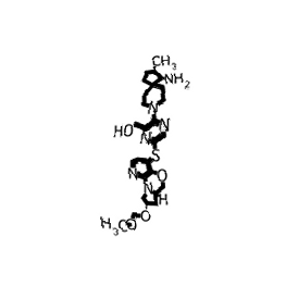 COCO[C@H]1C[C@H]2COc3c(Sc4cnc(N5CCC6(CC[C@@H](C)[C@H]6N)CC5)c(CO)n4)ccnc3N2C1